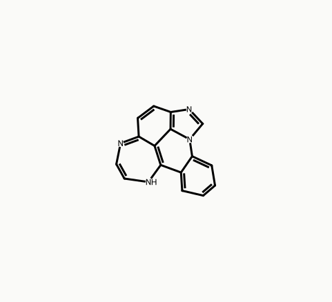 C1=CNc2c3ccccc3n3cnc4ccc(c2c43)=N1